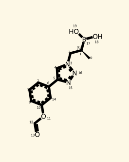 C[C@@H](Cn1cc(-c2cccc(OC=O)c2)nn1)B(O)O